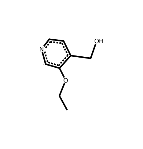 CCOc1[c]nccc1CO